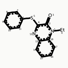 CCn1c(=O)c(Sc2ccccc2)nc2ccccc21